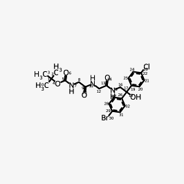 CC(C)(C)OC(=O)NCC(=O)NCC(=O)NCC(O)(c1ccc(Cl)cc1)c1ccc(Br)cc1